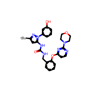 CC(C)(C)c1cc(NC(=O)NCc2ccccc2Oc2ccnc(N3CCOCC3)n2)n(-c2cccc(O)c2)n1